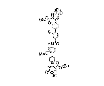 COc1nc(NC(=O)c2ccc(C3=CCN(C(=NC(=O)OC(C)(C)C)NC(=O)OC(C)(C)C)CC3)c(F)c2)ccc1C1=CCN(C(=NC(=O)OC(C)(C)C)NC(=O)OC(C)(C)C)CC1